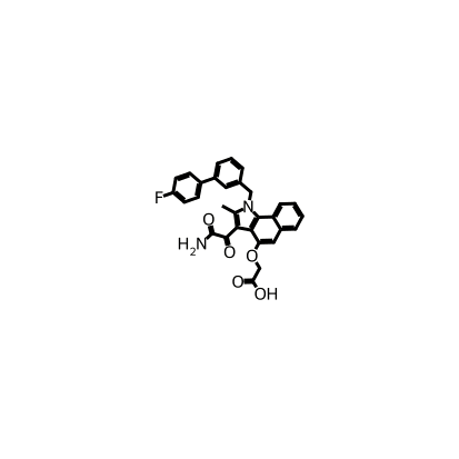 Cc1c(C(=O)C(N)=O)c2c(OCC(=O)O)cc3ccccc3c2n1Cc1cccc(-c2ccc(F)cc2)c1